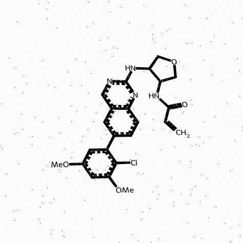 C=CC(=O)NC1COCC1Nc1ncc2cc(-c3cc(OC)cc(OC)c3Cl)ccc2n1